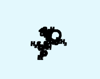 CCc1cccc(-c2ccc(C)cc2NC(=O)O[C@@H]2C[C@H]3C(=O)N[C@]4(C(=O)NS(=O)(=O)C5(C)CC5)C[C@H]4/C=C\CCCCN(C)C(=O)[C@@H]3C2)n1